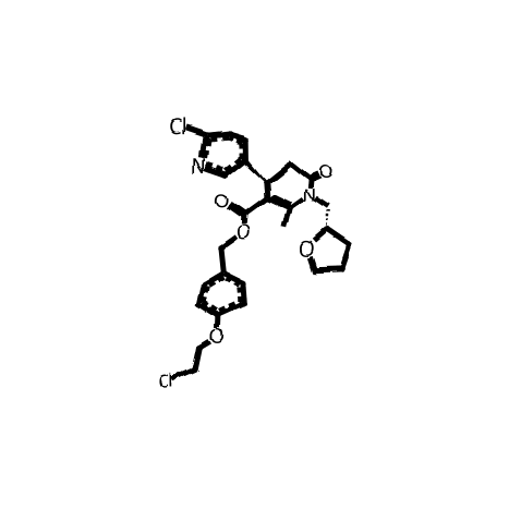 CC1=C(C(=O)OCc2ccc(OCCCl)cc2)[C@@H](c2ccc(Cl)nc2)CC(=O)N1C[C@@H]1CCCO1